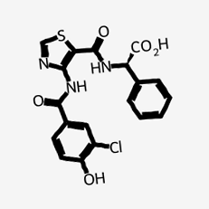 O=C(Nc1ncsc1C(=O)N[C@@H](C(=O)O)c1ccccc1)c1ccc(O)c(Cl)c1